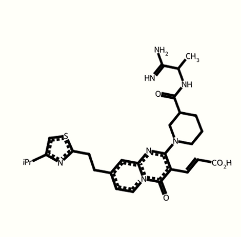 CC(NC(=O)C1CCCN(c2nc3cc(CCc4nc(C(C)C)cs4)ccn3c(=O)c2/C=C/C(=O)O)C1)C(=N)N